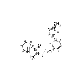 CN(CCOc1c[c]cc(-c2cnn(C)c2)c1)C(=O)C1CCCCN1